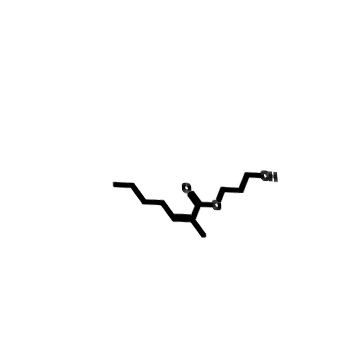 CCCCC=C(C)C(=O)OCCCO